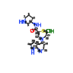 Cl.O=C(N[C@@H]1CCCNC1)C1=CN(c2ccnc3[nH]ccc23)CCS1